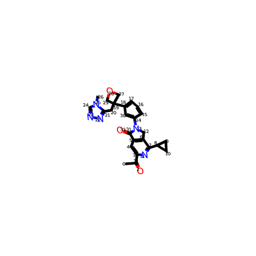 CC(=O)c1cc2c(c(C3CC3)n1)CN(c1cccc(C3(Cc4nncn4C)COC3)c1)C2=O